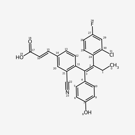 CC/C(=C(\c1ccc(O)cc1)c1ccc(/C=C/C(=O)O)cc1C#N)c1ccc(F)cc1Cl